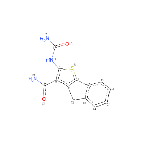 NC(=O)Nc1sc2c(c1C(N)=O)Cc1ccccc1-2